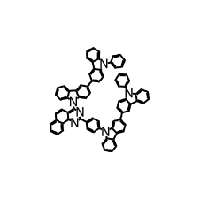 c1ccc(-n2c3ccccc3c3cc(-c4ccc5c(c4)c4ccccc4n5-c4nc(-c5ccc(-n6c7ccccc7c7ccc(-c8ccc9c(c8)c8ccccc8n9-c8ccccc8)cc76)cc5)nc5c4ccc4ccccc45)ccc32)cc1